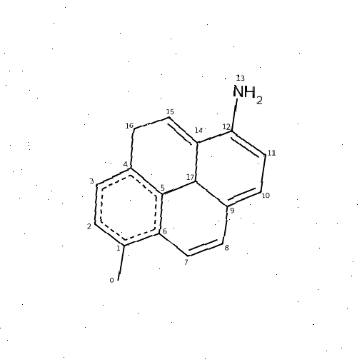 Cc1ccc2c3c1C=CC1=CC=C(N)C(=CC2)C13